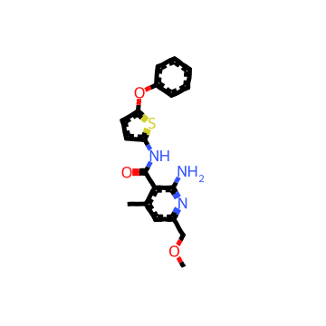 COCc1cc(C)c(C(=O)Nc2ccc(Oc3ccccc3)s2)c(N)n1